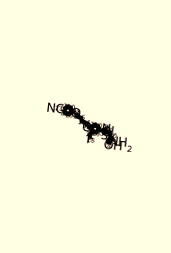 C[C@](N)(CO)c1nnc(-c2ccc(OCCCCOc3ccc(C#N)cc3)c(CF)c2)s1